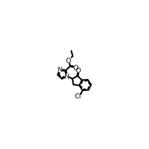 CCOC(=O)c1nccn1C1Cc2c(Cl)cccc2C1=O